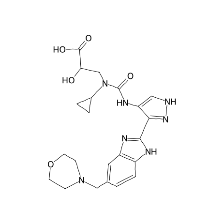 O=C(O)C(O)CN(C(=O)Nc1c[nH]nc1-c1nc2cc(CN3CCOCC3)ccc2[nH]1)C1CC1